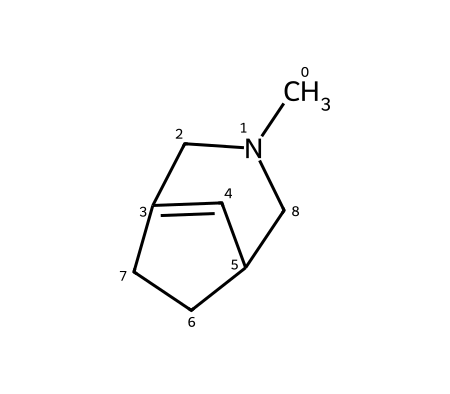 CN1CC2=CC(CC2)C1